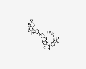 CN(c1ncc(Cl)c(Nc2ccc3c(c2)n(CCC(C)(C)O)c(=O)n3C)n1)C1CCN(c2ccc3c(c2)n(C)c(=O)n3C2CCC(=O)NC2=O)CC1